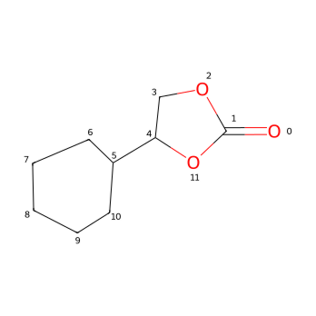 O=C1OCC(C2CCCCC2)O1